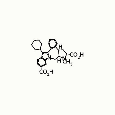 CN1[C@@H](C(=O)O)C[C@@H]2c3ccccc3-c3c(C4CCCCC4)c4ccc(C(=O)O)cc4n3C[C@@H]21